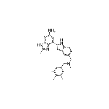 Cc1nc2c(-c3cc4cc(CN(C)Cc5cc(C)c(C)c(C)c5)ccc4[nH]3)cc(N)nc2[nH]1